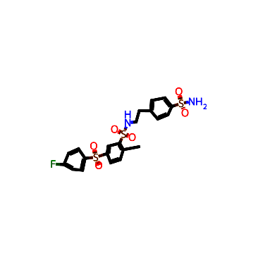 Cc1ccc(S(=O)(=O)c2ccc(F)cc2)cc1S(=O)(=O)NCCc1ccc(S(N)(=O)=O)cc1